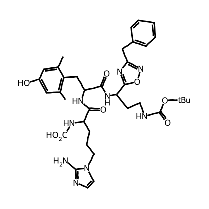 Cc1cc(O)cc(C)c1CC(NC(=O)C(CCCn1ccnc1N)NC(=O)O)C(=O)NC(CCNC(=O)OC(C)(C)C)c1nc(Cc2ccccc2)no1